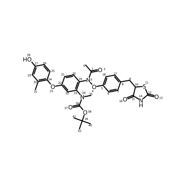 CC(=O)N(Oc1ccc(CC2SC(=O)NC2=O)cc1)c1ccc(Oc2ccc(O)cc2C)cc1N(C)C(=O)OC(C)(C)C